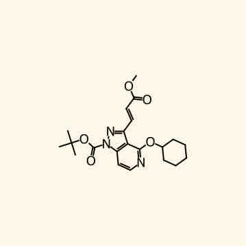 COC(=O)/C=C/c1nn(C(=O)OC(C)(C)C)c2ccnc(OC3CCCCC3)c12